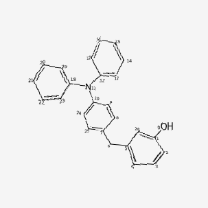 Oc1cccc(Cc2ccc(N(c3ccccc3)c3ccccc3)cc2)c1